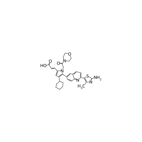 Cc1nc(N)sc1-c1ccc2cc(-c3c(C4CCCCC4)cc(/C=C/C(=O)O)n3CC(=O)N3CCOCC3)ccc2n1